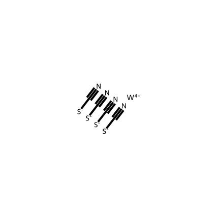 N#C[S-].N#C[S-].N#C[S-].N#C[S-].[W+4]